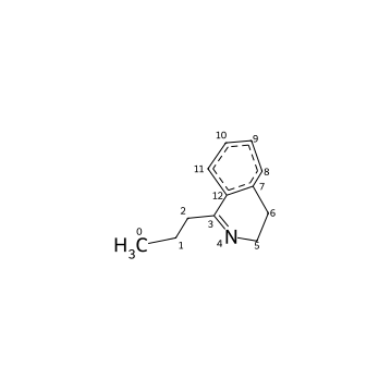 CCCC1=NCCc2ccccc21